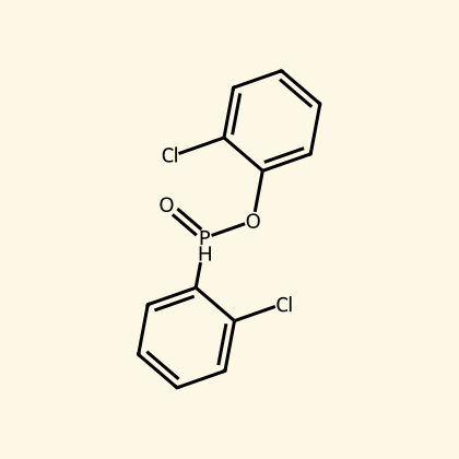 O=[PH](Oc1ccccc1Cl)c1ccccc1Cl